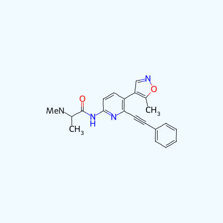 CNC(C)C(=O)Nc1ccc(-c2cnoc2C)c(C#Cc2ccccc2)n1